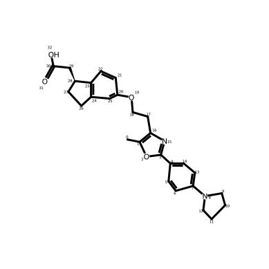 Cc1oc(-c2ccc(N3CCCC3)cc2)nc1CCOc1ccc2c(c1)CC[C@H]2CC(=O)O